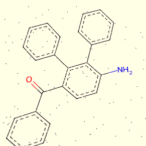 Nc1ccc(C(=O)c2ccccc2)c(-c2ccccc2)c1-c1ccccc1